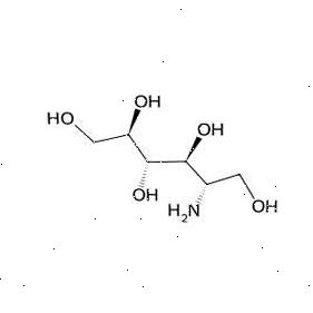 N[C@@H](CO)[C@H](O)[C@H](O)[C@H](O)CO